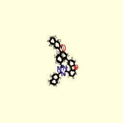 C1=CC2Oc3cccc(-c4nc(-c5ccccc5)nc(-c5ccc6ccccc6c5)n4)c3C2C=C1c1ccc2c(c1)oc1cc3ccccc3cc12